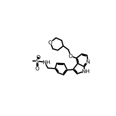 CS(=O)(=O)NCc1ccc(-c2c[nH]c3nccc(OCC4CCOCC4)c23)cc1